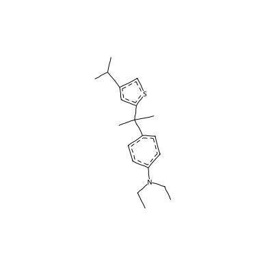 CCN(CC)c1ccc(C(C)(C)c2cc(C(C)C)cs2)cc1